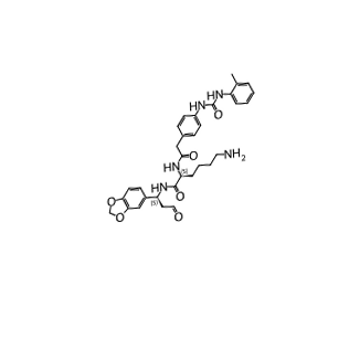 Cc1ccccc1NC(=O)Nc1ccc(CC(=O)N[C@@H](CCCCN)C(=O)N[C@@H](CC=O)c2ccc3c(c2)OCO3)cc1